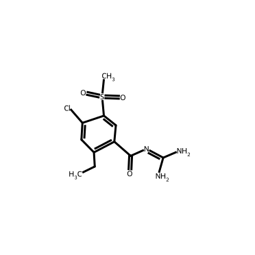 CCc1cc(Cl)c(S(C)(=O)=O)cc1C(=O)N=C(N)N